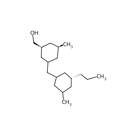 CCC[C@@H]1CC(C)CC(CC2C[C@H](C)C[C@H](CO)C2)C1